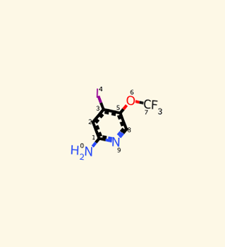 Nc1cc(I)c(OC(F)(F)F)cn1